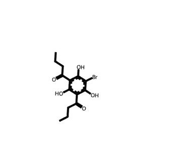 CCCC(=O)c1c(O)c(Br)c(O)c(C(=O)CCC)c1O